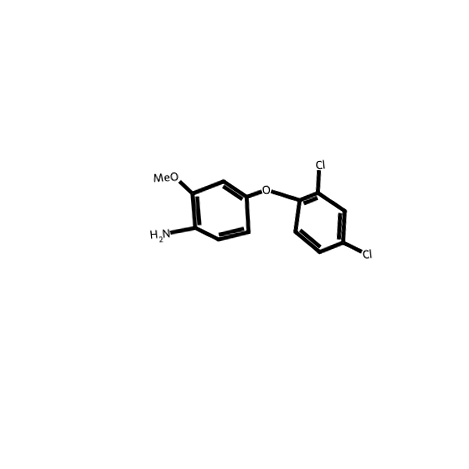 COc1cc(Oc2ccc(Cl)cc2Cl)ccc1N